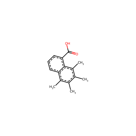 Cc1c(C)c(C)c2c(C(=O)O)cccc2c1C